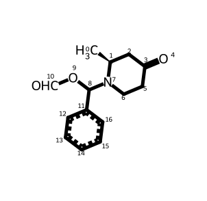 C[C@H]1CC(=O)CCN1C(OC=O)c1ccccc1